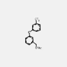 COCc1cccc(Oc2cccc(C(F)(F)F)c2)c1